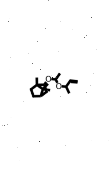 C=CC(C)OC(C)OC1CC2CCC1(C)C2(C)C